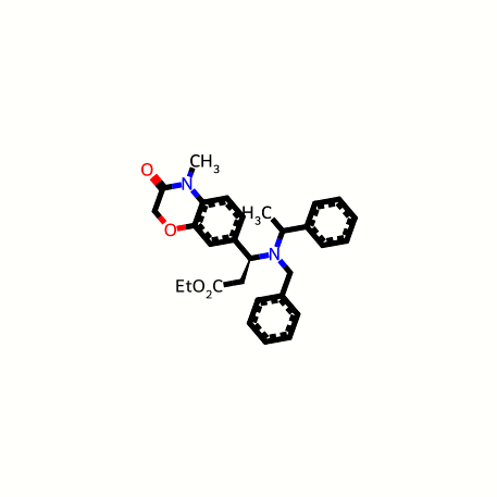 CCOC(=O)C[C@@H](c1ccc2c(c1)OCC(=O)N2C)N(Cc1ccccc1)C(C)c1ccccc1